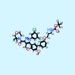 COc1cc2c(cc1-c1cccc(OCCCNC(=O)OC(C)(C)C)c1)-c1c(c(C(=O)N3CCOCC3(C)C)nn1-c1cc(Cl)cc(Cl)c1)CO2